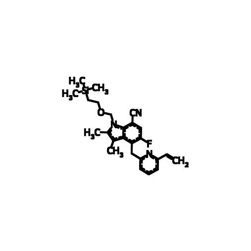 C=Cc1cccc(Cc2c(F)cc(C#N)c3c2c(C)c(C)n3COCC[Si](C)(C)C)n1